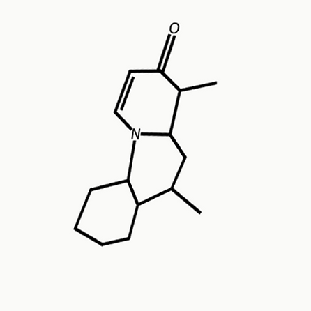 CC1CC2C(C)C(=O)C=CN2C2CCCCC12